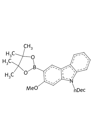 CCCCCCCCCCn1c2ccccc2c2cc(B3OC(C)(C)C(C)(C)O3)c(OC)cc21